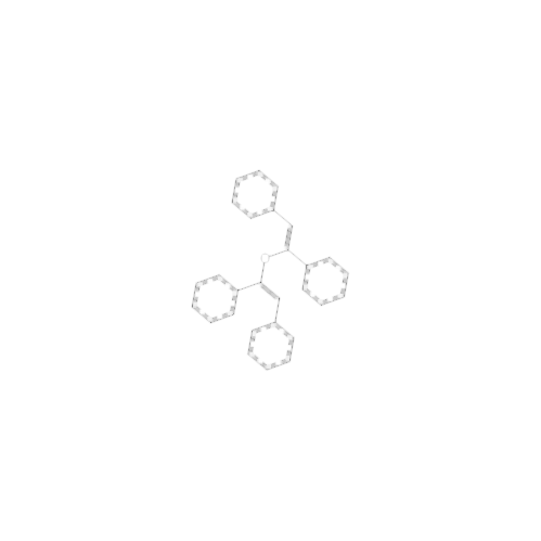 C(=C(OC(=Cc1ccccc1)c1ccccc1)c1ccccc1)c1ccccc1